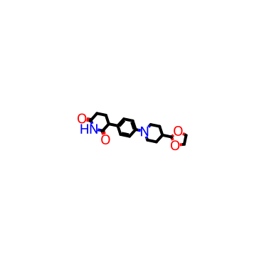 O=C1CCC(c2ccc(N3CCC(C4OCCO4)CC3)cc2)C(=O)N1